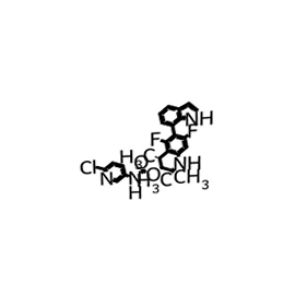 C[C@@H]1c2c(cc(F)c(-c3cccc4cc[nH]c34)c2F)NC(C)(C)[C@H]1OC(=O)Nc1ccc(Cl)nc1